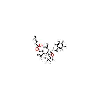 C=CCCC(=O)O[C@H]1C[C@@H](C)[C@H](/C=C/[C@H](CCc2ccccc2)O[Si](C)(C)C(C)(C)C)[C@H]1CC=C